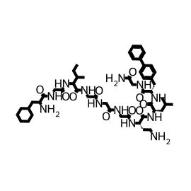 CCC(C)C(NC(=O)CNC(=O)C(N)CC1CCCCC1)C(=O)NCC(=O)NCC(=O)NCC(=O)N[C@@H](CCN)C(=O)N[C@H](CC(C)C)C(=O)N[C@@H](Cc1ccc(-c2ccccc2)cc1)C(=O)NCC(N)=O